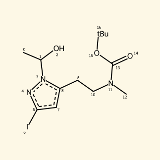 CC(O)n1nc(I)cc1CCN(C)C(=O)OC(C)(C)C